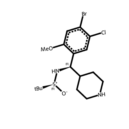 COc1cc(Br)c(Cl)cc1[C@H](N[S@@+]([O-])C(C)(C)C)C1CCNCC1